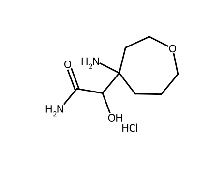 Cl.NC(=O)C(O)C1(N)CCCOCC1